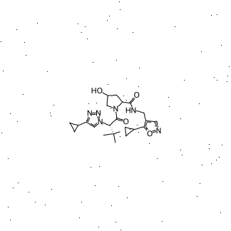 CC(C)(C)[C@@H](C(=O)N1CC(O)CC1C(=O)NCc1cnoc1C1CC1)n1cc(C2CC2)nn1